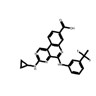 CC(F)(F)c1cccc(Nc2nc3cc(C(=O)O)ccc3c3cnc(NC4CC4)nc23)c1